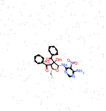 Nc1ncnc(N[C@@H]2O[C@H](CF)[C@](O)(C(=O)c3ccccc3)[C@]2(O)C(=O)c2ccccc2)c1[N+](=O)[O-]